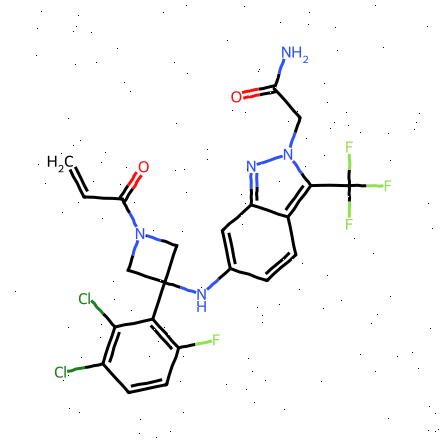 C=CC(=O)N1CC(Nc2ccc3c(C(F)(F)F)n(CC(N)=O)nc3c2)(c2c(F)ccc(Cl)c2Cl)C1